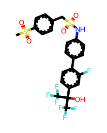 CS(=O)(=O)c1ccc(CS(=O)(=O)Nc2ccc(-c3ccc(C(O)(C(F)(F)F)C(F)(F)F)cc3F)cc2)cc1